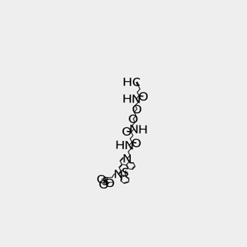 C#CCCC(=O)NCCOCCOCCNC(=O)CCC(=O)NCCCN1C=C/C(=C/c2sc3ccccc3[n+]2CCCS(=O)(=O)[O-])c2ccccc21